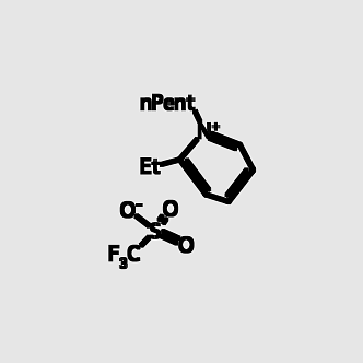 CCCCC[n+]1ccccc1CC.O=S(=O)([O-])C(F)(F)F